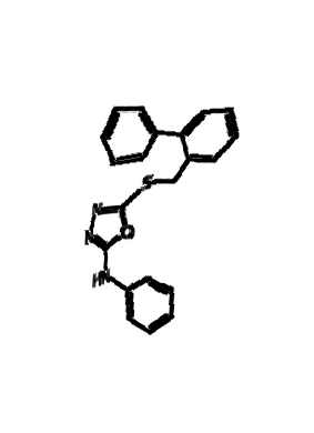 c1ccc(Nc2nnc(SCc3ccccc3-c3ccccc3)o2)cc1